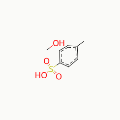 CO.Cc1ccc(S(=O)(=O)O)cc1